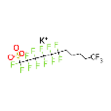 O=S(=O)([O-])C(F)(F)C(F)(F)C(F)(F)C(F)(F)C(F)(F)C(F)(F)CCCCC(F)(F)F.[K+]